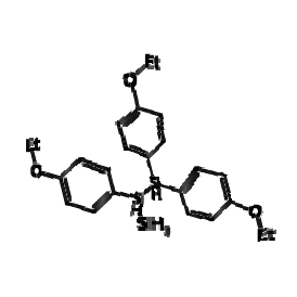 CCOc1ccc([SiH]([SiH3])[SiH](c2ccc(OCC)cc2)c2ccc(OCC)cc2)cc1